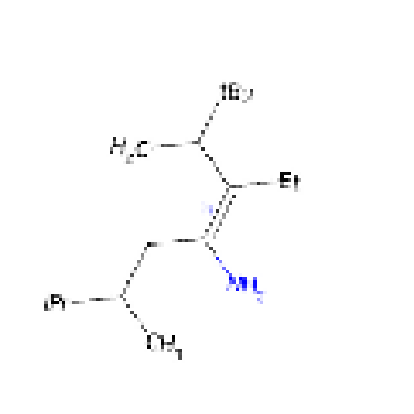 CC/C(=C(\N)CC(C)C(C)C)C(C)C(C)(C)C